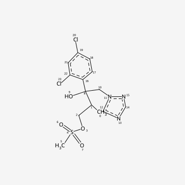 CC(COS(C)(=O)=O)C(O)(Cn1cncn1)c1ccc(Cl)cc1Cl